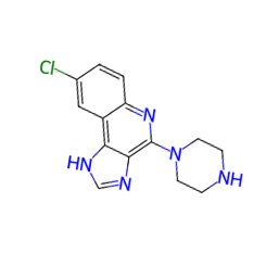 Clc1ccc2nc(N3CCNCC3)c3nc[nH]c3c2c1